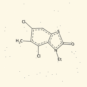 CCn1c(=O)sc2cc(Cl)c(C)c(Cl)c21